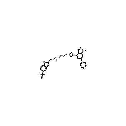 FC(F)(F)c1ccc2[nH]c(CNCCCCOC3CN(c4cc(-c5ccnnc5)cc5[nH]ncc45)C3)cc2c1